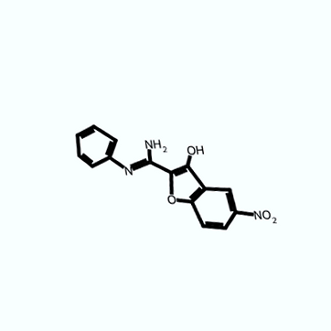 NC(=Nc1ccccc1)c1oc2ccc([N+](=O)[O-])cc2c1O